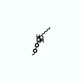 CCCCCCCC1CC[C@@H]2C[C@H](c3ccc(-c4ccc(CC)cc4)cc3)CC[C@@H]2C1